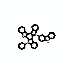 c1ccc(-n2c3ccccc3c3c2c2sc4ccccc4c2c2c4ccccc4n(-c4ccc5oc6ccccc6c5c4)c23)cc1